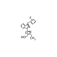 CCc1nc(-c2nn(Cc3ccccc3F)c3ccccc23)oc1CO